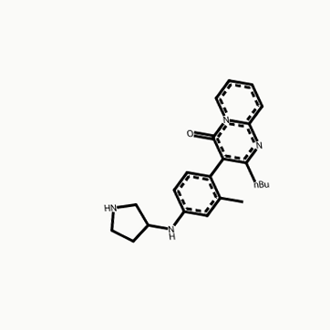 CCCCc1nc2ccccn2c(=O)c1-c1ccc(NC2CCNC2)cc1C